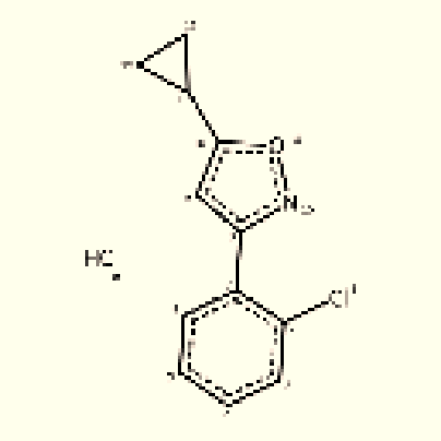 Cl.Clc1ccccc1-c1cc(C2CC2)on1